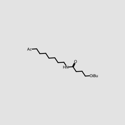 CC(=O)CCCCCCCNC(=O)CCCOCC(C)C